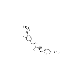 CC(C)(C)c1ccc(CNC(=S)NCc2ccc(NCC(=O)O)c(F)c2)cc1